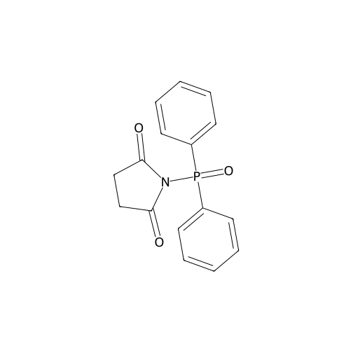 O=C1CCC(=O)N1P(=O)(c1ccccc1)c1ccccc1